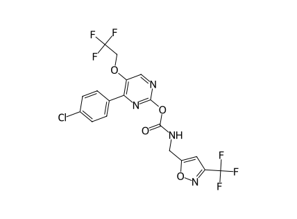 O=C(NCc1cc(C(F)(F)F)no1)Oc1ncc(OCC(F)(F)F)c(-c2ccc(Cl)cc2)n1